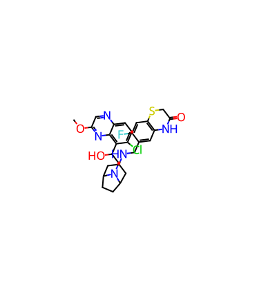 COc1cnc2ccc(Cl)c(C(O)CN3C4CCC3CC(NCc3cc5c(cc3F)SCC(=O)N5)C4)c2n1